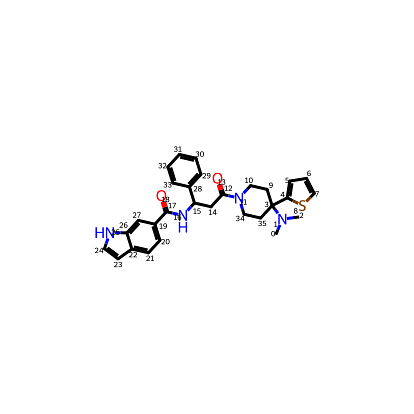 CN(C)C1(c2cccs2)CCN(C(=O)CC(NC(=O)c2ccc3cc[nH]c3c2)c2ccccc2)CC1